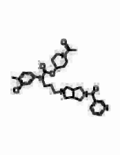 CC(=O)N1CCC(OC(=O)N(CCCN2CC3CN(C(=O)c4cccnc4)CC3C2)c2ccc(C)c(Cl)c2)CC1